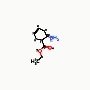 CCOC(=O)C1CC=CCC1N